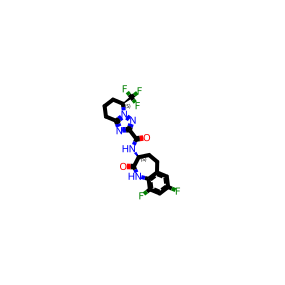 O=C(N[C@H]1CCc2cc(F)cc(F)c2NC1=O)c1nc2n(n1)[C@H](C(F)(F)F)CCC2